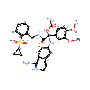 CCOc1cc([C@@](Nc2ccc3c(N)nccc3c2)(OC(=O)C(F)(F)F)C(=O)NCc2ccccc2S(=O)(=O)C2CC2)ccc1OC(C)C